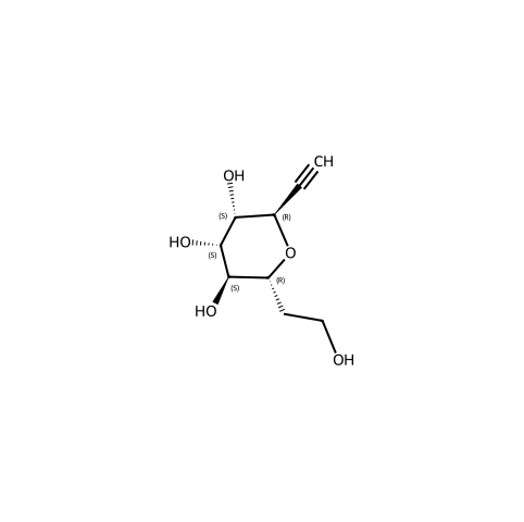 C#C[C@H]1O[C@H](CCO)[C@@H](O)[C@H](O)[C@@H]1O